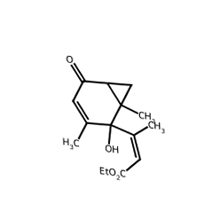 CCOC(=O)/C=C(/C)C1(O)C(C)=CC(=O)C2CC21C